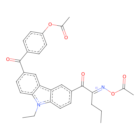 CCC/C(=N\OC(C)=O)C(=O)c1ccc2c(c1)c1cc(C(=O)c3ccc(OC(C)=O)cc3)ccc1n2CC